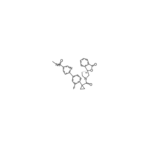 CNC(=O)c1ccc(-c2ccc(C3(C(=O)N4CC[C@@]5(C4)OC(=O)c4ccccc45)CC3)c(F)c2)nc1